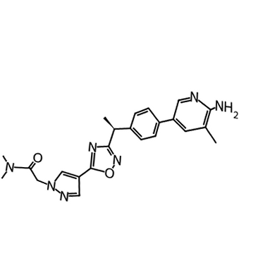 Cc1cc(-c2ccc([C@H](C)c3noc(-c4cnn(CC(=O)N(C)C)c4)n3)cc2)cnc1N